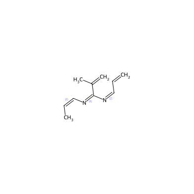 C=C\C=N/C(=N/C=C\C)C(=C)C